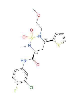 COCCN1[C@@H](c2cccs2)C[C@@H](C(=O)Nc2ccc(F)c(Cl)c2)N(C)S1(=O)=O